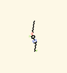 CCCCCCCCCOc1ccc(-c2ncc(CCCCC(C)F)cn2)cc1F